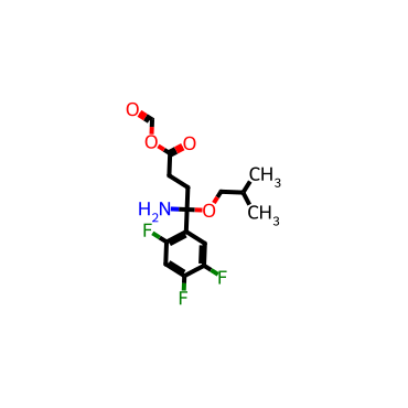 CC(C)COC(N)(CCC(=O)OC=O)c1cc(F)c(F)cc1F